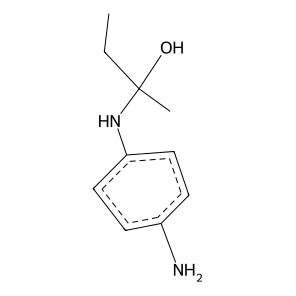 CCC(C)(O)Nc1ccc(N)cc1